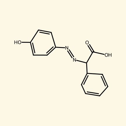 O=C(O)C(N=Nc1ccc(O)cc1)c1ccccc1